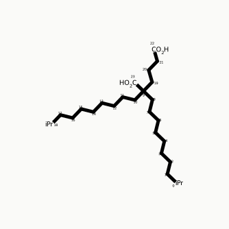 CC(C)CCCCCCCCC(CCCCCCCCC(C)C)(CCCC(=O)O)C(=O)O